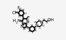 Cc1nc2c(-c3cccc(N4CCN(CCO)CC4)c3)cnn2c(N)c1-c1ccc(F)c(Cl)c1